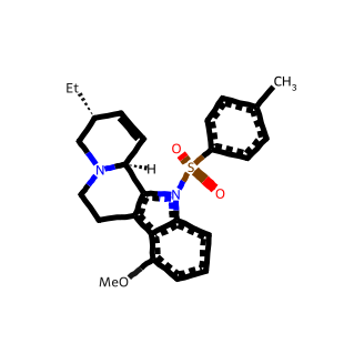 CC[C@@H]1C=C[C@H]2c3c(c4c(OC)cccc4n3S(=O)(=O)c3ccc(C)cc3)CCN2C1